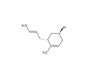 CC(=O)OC=CC[C@@H]1C[C@@H](C(C)C)CC=C1C